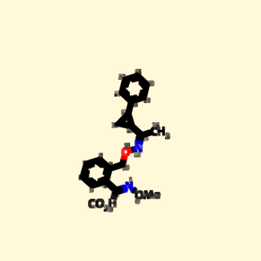 CON=C(C(=O)O)c1ccccc1CON=C(C)C1CC1c1ccccc1